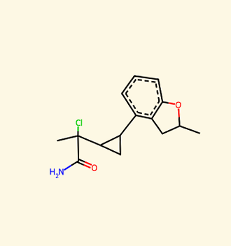 CC1Cc2c(cccc2C2CC2C(C)(Cl)C(N)=O)O1